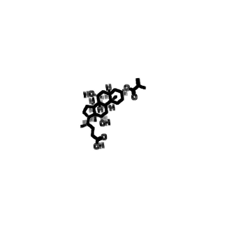 C=C(C)C(=O)O[C@@H]1CC[C@@]2(C)[C@@H](C1)C[C@@H](O)[C@@H]1[C@@H]2C[C@H](O)[C@]2(C)[C@@H]([C@H](C)CCC(=O)O)CC[C@@H]12